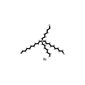 CCCCCCCCCC[N+](CCCCCCC)(CCCCCCC)CCCCCCCCCC.[Br-]